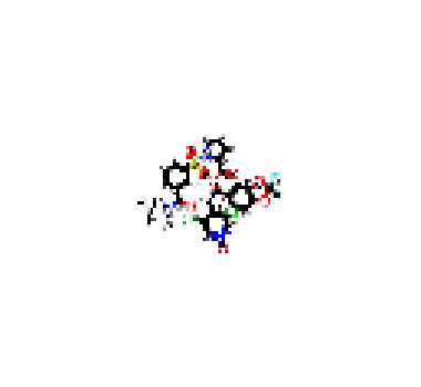 CN(C)C(=O)c1cccc(S(=O)(=O)N2CCC[C@H]2C(=O)O[C@H](Cc2c(Cl)c[n+]([O-])cc2Cl)c2ccc3c(c2)OC(F)(F)O3)c1